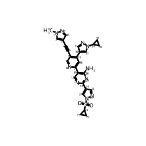 Cn1cc(C#Cc2cnc(-c3cnc(-c4cnn(S(=O)(=O)C5CC5)c4)nc3N)cc2-c2cnn(C3CC3)c2)cn1